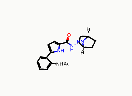 CC(=O)Nc1ccccc1-c1ccc(C(=O)N[C@@H]2C[C@H]3CC[C@@H]2N3)[nH]1